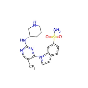 NS(=O)(=O)c1ccc2ccn(-c3nc(N[C@H]4CCCNC4)ncc3C(F)(F)F)c2c1